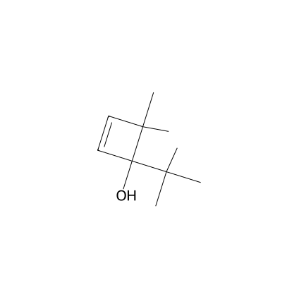 CC(C)(C)C1(O)C=CC1(C)C